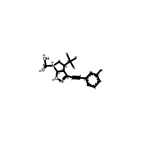 Cc1cccc(C#CC2=NOC3C2C(C(C)(C)C)CN3C(=O)O)c1